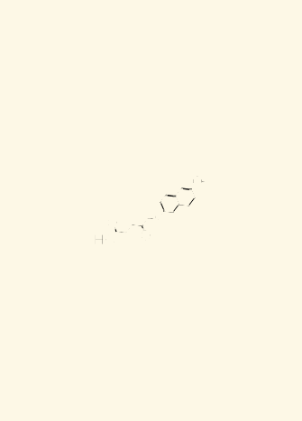 COc1ccc2cc(SCC(=O)CCC(=O)O)ccc2c1